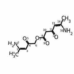 CC(N)=CC(=O)COC(=O)CC(=O)C=C(C)N